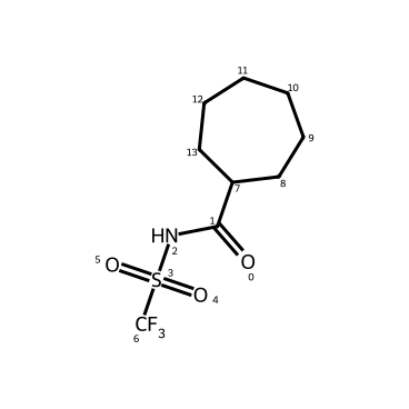 O=C(NS(=O)(=O)C(F)(F)F)C1CCCCCC1